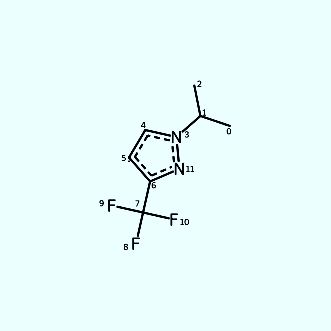 CC(C)n1c[c]c(C(F)(F)F)n1